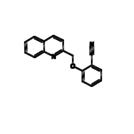 N#Cc1ccccc1OCc1ccc2ccccc2n1